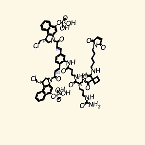 NC(=O)NCCC[C@@H](NC(=O)C1(C(=O)NCCCCCN2C(=O)C=CC2=O)CCC1)C(=O)NCCC(=O)Nc1cc(/C=C/C(=O)N2C[C@@H](CCl)c3c2cc(OP(=O)(O)O)c2ccccc32)ccc1/C=C/C(=O)N1C[C@@H](CCl)c2c1cc(OP(=O)(O)O)c1ccccc21